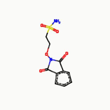 NS(=O)(=O)CCON1C(=O)c2ccccc2C1=O